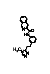 Cn1cnnc1CCc1cccc(NC(=O)c2cc3ccccc3cn2)c1